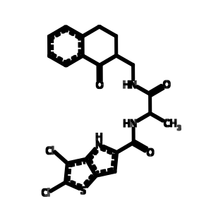 CC(NC(=O)c1cc2sc(Cl)c(Cl)c2[nH]1)C(=O)NCC1CCc2ccccc2C1=O